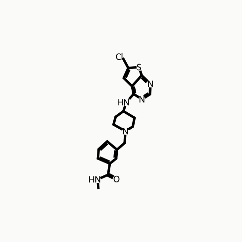 CNC(=O)c1cccc(CN2CCC(Nc3ncnc4sc(Cl)cc34)CC2)c1